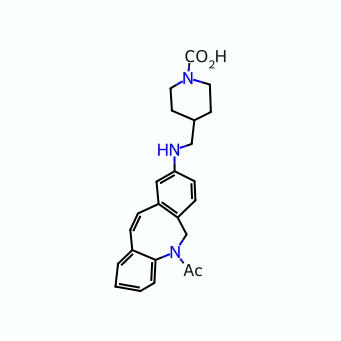 CC(=O)N1Cc2ccc(NCC3CCN(C(=O)O)CC3)cc2/C=C\c2ccccc21